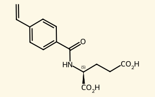 C=Cc1ccc(C(=O)N[C@@H](CCC(=O)O)C(=O)O)cc1